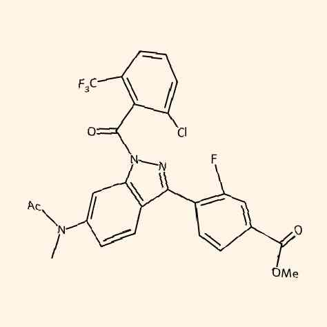 COC(=O)c1ccc(-c2nn(C(=O)c3c(Cl)cccc3C(F)(F)F)c3cc(N(C)C(C)=O)ccc23)c(F)c1